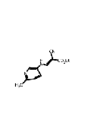 CCOC(=O)C(C#N)=CNc1ccc(C)nc1